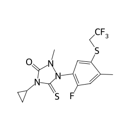 Cc1cc(F)c(-n2c(=S)n(C3CC3)c(=O)n2C)cc1SCC(F)(F)F